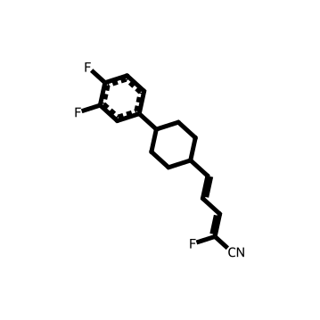 N#CC(F)=CC=CC1CCC(c2ccc(F)c(F)c2)CC1